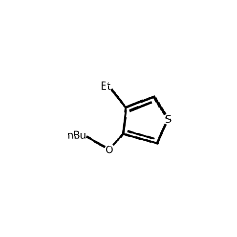 CCCCOc1cscc1CC